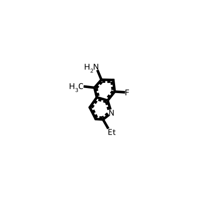 CCc1ccc2c(C)c(N)cc(F)c2n1